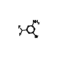 Nc1cc(Br)cc(C(F)F)c1